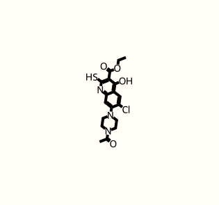 CCOC(=O)c1c(S)nc2cc(N3CCN(C(C)=O)CC3)c(Cl)cc2c1O